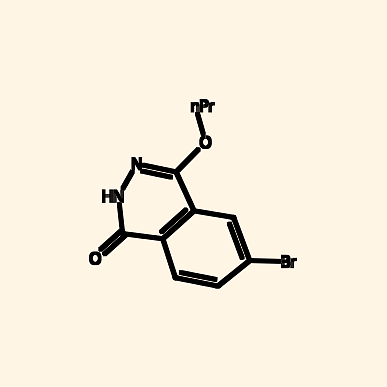 CCCOc1n[nH]c(=O)c2ccc(Br)cc12